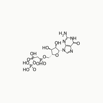 Nc1nc2c(ncn2[C@@H]2O[C@H](CO[P@@](=O)(O)C[P@@](=O)(O)OP(=O)(O)O)[C@@H](O)[C@H]2O)c(=O)[nH]1